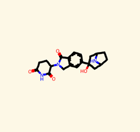 O=C1CCC(N2Cc3cc(C4(O)CC5CCC(C4)N5)ccc3C2=O)C(=O)N1